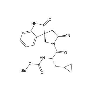 CC(C)(C)OC(=O)N[C@@H](CC1CC1)C(=O)N1C[C@]2(C[C@H]1C#N)C(=O)Nc1ccccc12